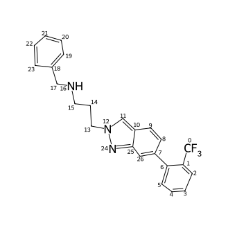 FC(F)(F)c1ccccc1-c1ccc2cn(CCCNCc3ccccc3)nc2c1